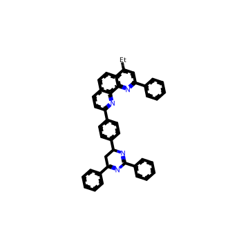 CCc1cc(-c2ccccc2)nc2c1ccc1ccc(-c3ccc(C4CC(c5ccccc5)=NC(c5ccccc5)=N4)cc3)nc12